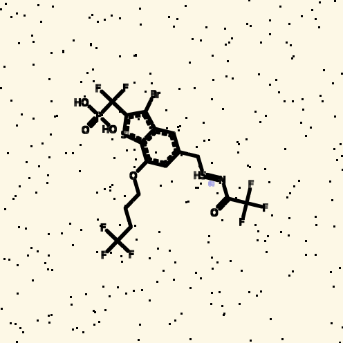 O=C(/N=[SH]/Cc1cc(OCCCC(F)(F)F)c2sc(C(F)(F)P(=O)(O)O)c(Br)c2c1)C(F)(F)F